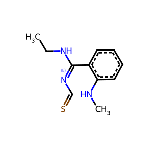 CCN/C(=N/C=S)c1ccccc1NC